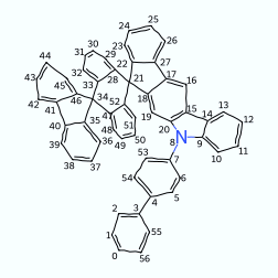 c1ccc(-c2ccc(-n3c4ccccc4c4cc5c(cc43)C3(c4ccccc4-5)c4ccccc4C4(c5ccccc5-c5ccccc54)c4ccccc43)cc2)cc1